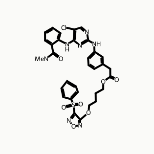 CNC(=O)c1ccccc1Nc1nc(Nc2cccc(CC(=O)OCCCCOc3nonc3S(=O)(=O)c3ccccc3)c2)ncc1Cl